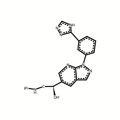 CC(C)NC[C@H](O)c1cnc2c(cnn2-c2cccc(-c3nnc[nH]3)c2)c1